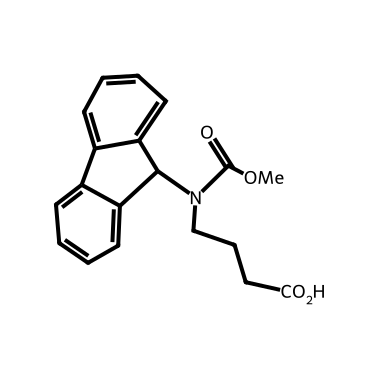 COC(=O)N(CCCC(=O)O)C1c2ccccc2-c2ccccc21